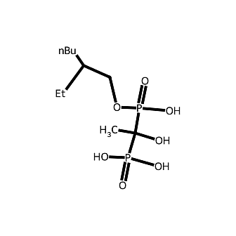 CCCCC(CC)COP(=O)(O)C(C)(O)P(=O)(O)O